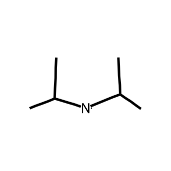 CC(C)[N]C(C)C